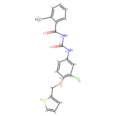 Cc1ccccc1C(=O)NC(=O)Nc1ccc(OCc2cccs2)c(Cl)c1